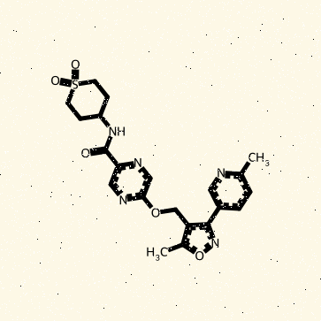 Cc1ccc(-c2noc(C)c2COc2cnc(C(=O)NC3CCS(=O)(=O)CC3)cn2)cn1